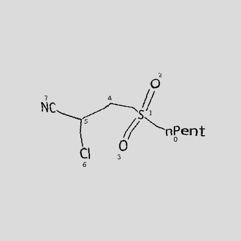 CCCCCS(=O)(=O)CC(Cl)C#N